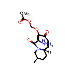 COC(=O)OCO/C1=C(/NN)C(=O)N2C[C@H](C)CC[C@H]2/C=C\C1=O